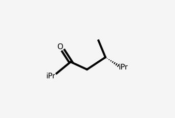 CC(C)C(=O)C[C@H](C)C(C)C